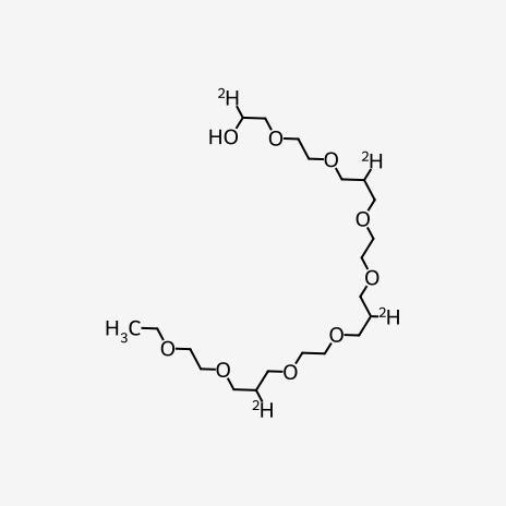 [2H]C(O)COCCOCC([2H])COCCOCC([2H])COCCOCC([2H])COCCOCC